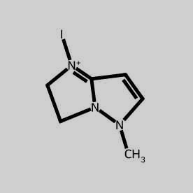 CN1C=CC2=[N+](I)CCN21